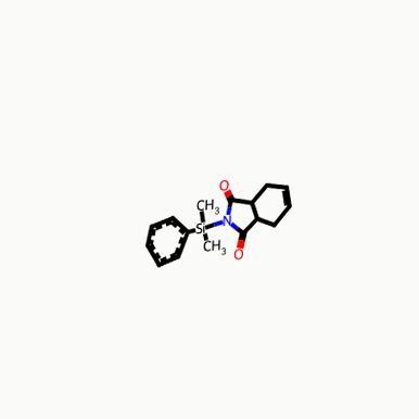 C[Si](C)(c1ccccc1)N1C(=O)C2CC=CCC2C1=O